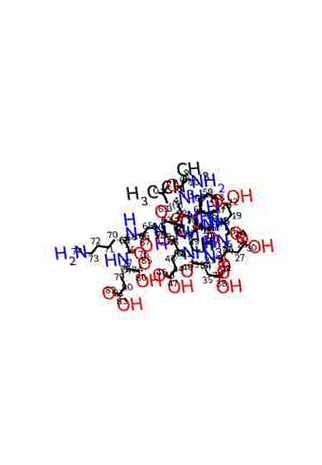 CC(C)C[C@H](NC(=O)[C@H](C)N)C(=O)N[C@H](C(=O)N[C@@H](CC(=O)O)C(=O)N[C@@H](CC(=O)O)C(=O)N[C@@H](CC(=O)O)C(=O)N[C@@H](CCC(=O)O)C(=O)N[C@@H](Cc1c[nH]c2ccccc12)C(=O)NCC(=O)N[C@@H](CCCCN)C(=O)N[C@@H](CCC(=O)O)C(=O)O)C(C)C